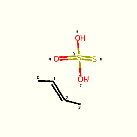 CC=CC.O=S(O)(O)=S